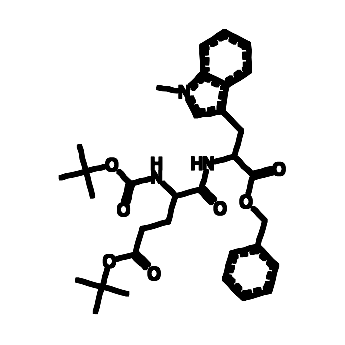 Cn1cc(CC(NC(=O)C(CCC(=O)OC(C)(C)C)NC(=O)OC(C)(C)C)C(=O)OCc2ccccc2)c2ccccc21